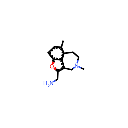 Cc1ccc2oc(CN)c3c2c1CCN(C)C3